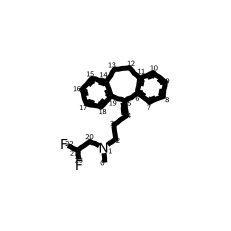 CN(CCC=C1c2ccccc2CCc2ccccc21)CC(F)F